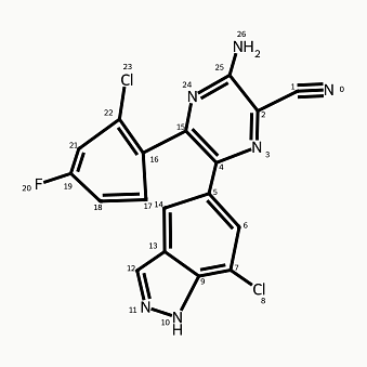 N#Cc1nc(-c2cc(Cl)c3[nH]ncc3c2)c(-c2ccc(F)cc2Cl)nc1N